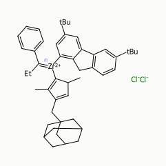 CC/[C](c1ccccc1)=[Zr+2](\[C]1=C(C)C(CC23CC4CC(CC(C4)C2)C3)=CC1C)[c]1cc(C(C)(C)C)cc2c1Cc1ccc(C(C)(C)C)cc1-2.[Cl-].[Cl-]